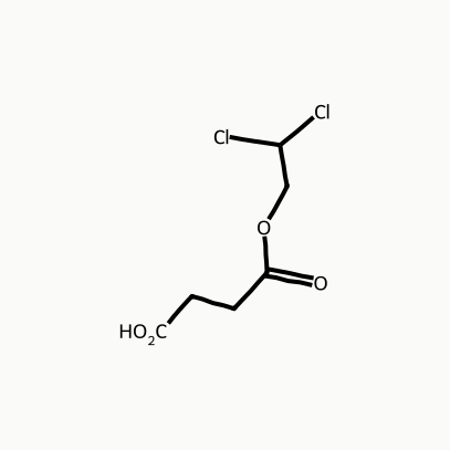 O=C(O)CCC(=O)OCC(Cl)Cl